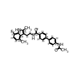 CC(=O)Nc1ccc(-c2ccc(C(=O)NCCc3c(C)[nH]c4c(F)ccc(C)c34)cc2)cc1